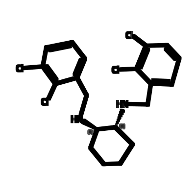 Clc1cccc(CN[C@@H]2CCCC[C@H]2NCc2cccc(Cl)c2Cl)c1Cl